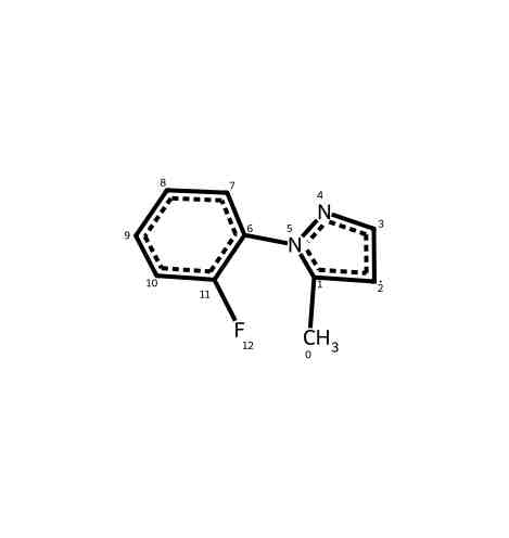 Cc1[c]cnn1-c1ccccc1F